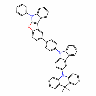 CC1(C)c2ccccc2N(c2ccc3c(c2)c2ccccc2n3-c2ccc(-c3ccc4oc5c(c4c3)c3ccccc3n5-c3ccccc3)cc2)c2ccccc21